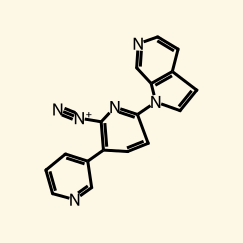 N#[N+]c1nc(-n2ccc3ccncc32)ccc1-c1cccnc1